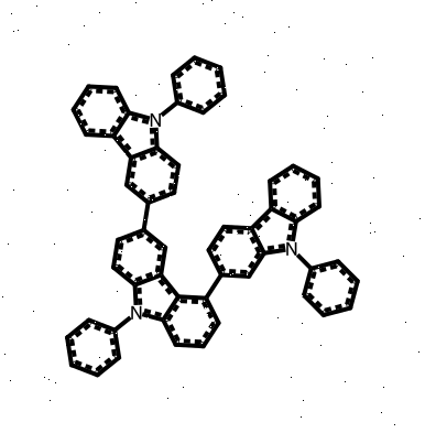 c1ccc(-n2c3ccccc3c3cc(-c4ccc5c(c4)c4c(-c6ccc7c8ccccc8n(-c8ccccc8)c7c6)cccc4n5-c4ccccc4)ccc32)cc1